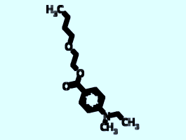 CCCCOCCOC(=O)c1ccc(N(C)CC)cc1